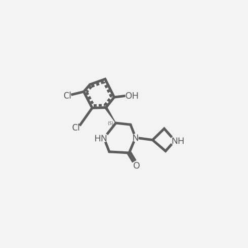 O=C1CN[C@@H](c2c(O)ccc(Cl)c2Cl)CN1C1CNC1